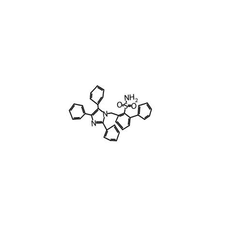 NS(=O)(=O)c1c(Cn2c(-c3ccccc3)nc(-c3ccccc3)c2-c2ccccc2)cccc1-c1ccccc1